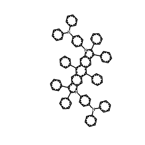 c1ccc(-c2c3cc4c(-c5ccccc5)c(-c5ccccc5)n(-c5ccc(N(c6ccccc6)c6ccccc6)cc5)c4cc3c(-c3ccccc3)c3cc4c(-c5ccccc5)c(-c5ccccc5)n(-c5ccc(N(c6ccccc6)c6ccccc6)cc5)c4cc23)cc1